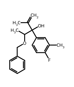 C=C(C)C(O)(c1ccc(F)c(C)c1)C(C)OCc1ccccc1